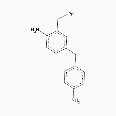 CC(C)Cc1cc(Cc2ccc(N)cc2)ccc1N